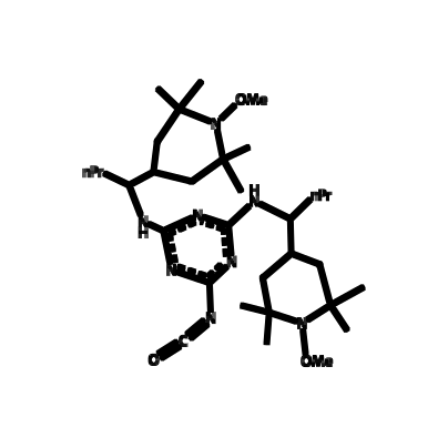 CCCC(Nc1nc(N=C=O)nc(NC(CCC)C2CC(C)(C)N(OC)C(C)(C)C2)n1)C1CC(C)(C)N(OC)C(C)(C)C1